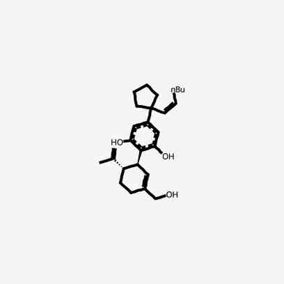 C=C(C)[C@H]1CCC(CO)=C[C@@H]1c1c(O)cc(C2(/C=C\CCCC)CCCC2)cc1O